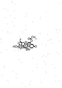 CC(=O)OC1=C[C@H]2[C@@H]3CC(=CF)[C@](O)(C(=O)CO)[C@@]3(C)CC(O)[C@]2(F)[C@@]2(C)C=CC(=O)C=C12